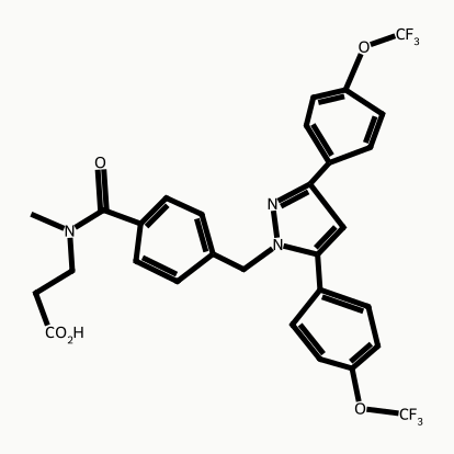 CN(CCC(=O)O)C(=O)c1ccc(Cn2nc(-c3ccc(OC(F)(F)F)cc3)cc2-c2ccc(OC(F)(F)F)cc2)cc1